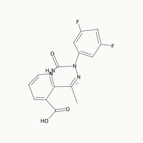 C/C(=N/N(C(N)=O)c1cc(F)cc(F)c1)c1ncccc1C(=O)O